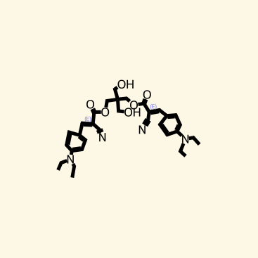 CCN(CC)c1ccc(/C=C(\C#N)C(=O)OCC(CO)(CO)COC(=O)/C(C#N)=C/c2ccc(N(CC)CC)cc2)cc1